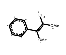 COC(C)=C(OC)c1ccccc1